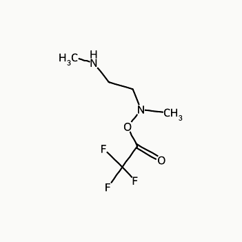 CNCCN(C)OC(=O)C(F)(F)F